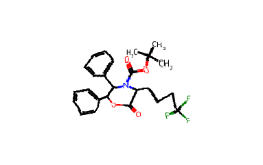 CC(C)(C)OC(=O)N1C(CCCC(F)(F)F)C(=O)OC(c2ccccc2)C1c1ccccc1